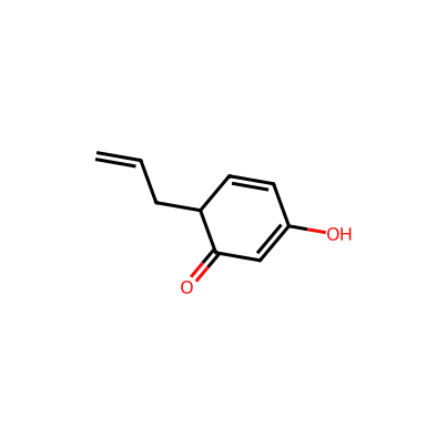 C=CCC1C=CC(O)=CC1=O